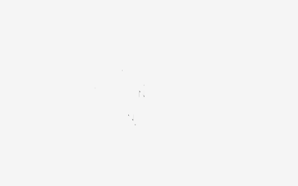 CCC(C)n1c[c]cn1